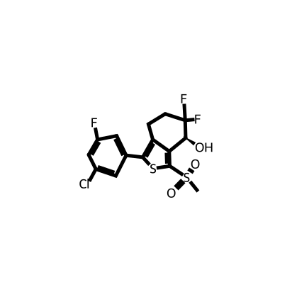 CS(=O)(=O)c1sc(-c2cc(F)cc(Cl)c2)c2c1[C@H](O)C(F)(F)CC2